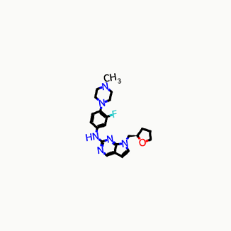 CN1CCN(c2ccc(Nc3ncc4ccn(C[C@H]5CCCO5)c4n3)cc2F)CC1